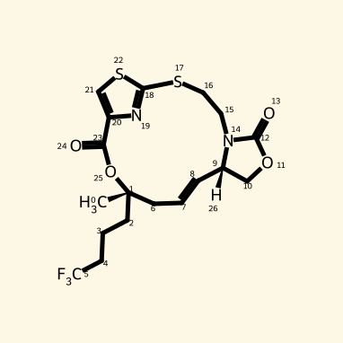 C[C@]1(CCCC(F)(F)F)C/C=C/[C@H]2COC(=O)N2CCSc2nc(cs2)C(=O)O1